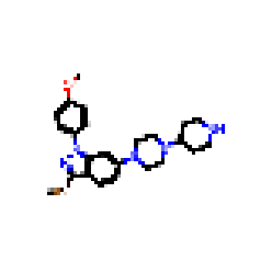 COc1ccc(-n2nc(SC)c3ccc(N4CCN(C5CCNCC5)CC4)cc32)cc1